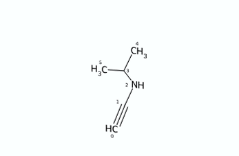 C#CNC(C)C